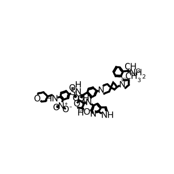 CC(C)(N)c1ccccc1[C@@H]1CCCN1C1CC2(CCN(c3ccc(C(=O)NS(=O)(=O)c4ccc(NCC5CCOCC5)c([N+](=O)[O-])c4)c(N4c5cc6cc[nH]c6nc5O[C@@H]5COC[C@H]54)c3)CC2)C1